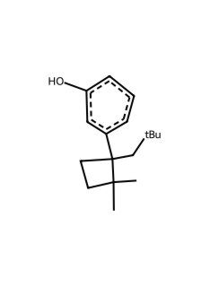 CC(C)(C)CC1(c2cccc(O)c2)CCC1(C)C